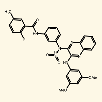 COc1cc(Nc2nc3ccccc3nc2N(c2cccc(NC(=O)c3cc(C)ccc3F)c2)[SH](=O)=O)cc(OC)c1